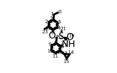 CCc1ccc(OCc2cccc(C3CC3)c2NC(=O)SC)c(C)c1